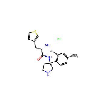 Cl.N#Cc1cc([N+](=O)[O-])ccc1[C@@]1(NC(=O)[C@@H](N)Cc2ccsc2)CCNC1